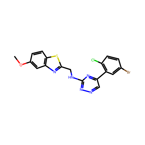 COc1ccc2sc(CNc3nncc(-c4cc(Br)ccc4Cl)n3)nc2c1